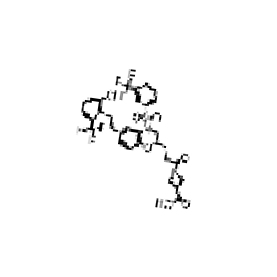 O=C(O)C1CN(C(=O)CCC2CN(S(=O)(=O)c3cccc(C(F)(F)F)c3)c3cc(C=Cc4c(Cl)cccc4C(F)(F)F)ccc3O2)C1